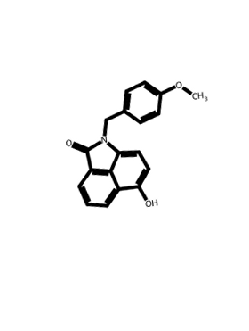 COc1ccc(CN2C(=O)c3cccc4c(O)ccc2c34)cc1